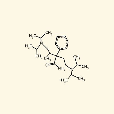 CC(C)N(CCC(C(N)=O)(c1ccccc1)C(C)CN(C(C)C)C(C)C)C(C)C